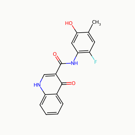 Cc1cc(F)c(NC(=O)c2c[nH]c3ccccc3c2=O)cc1O